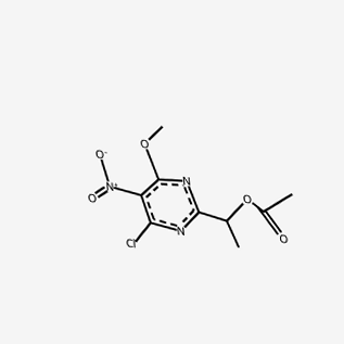 COc1nc(C(C)OC(C)=O)nc(Cl)c1[N+](=O)[O-]